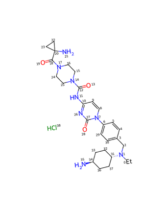 CCN(Cc1ccc(-n2ccc(NC(=O)N3CCN(C(=O)C4(N)CC4)CC3)nc2=O)cc1)[C@H]1CC[C@H](N)CC1.Cl